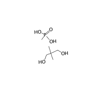 CC(C)(CO)CO.CP(=O)(O)O